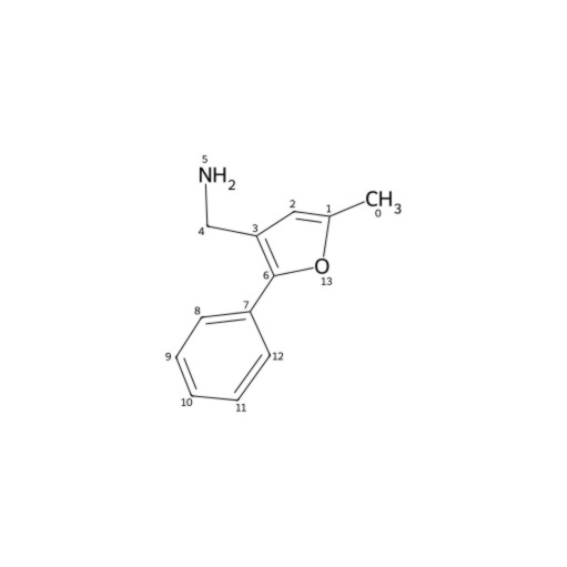 Cc1cc(CN)c(-c2ccccc2)o1